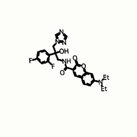 CCN(CC)c1ccc2cc(C(=O)NCC(O)(Cn3cncn3)c3ccc(F)cc3F)c(=O)oc2c1